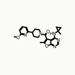 COc1cccc(C2CCN(C(=O)c3c(C)oc4ncnc(NC5(C)CC5)c34)CC2)n1